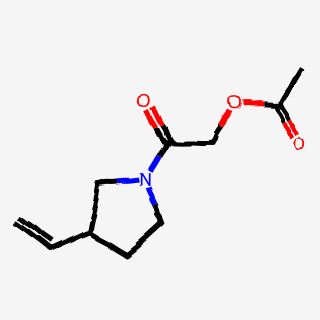 C=CC1CCN(C(=O)COC(C)=O)C1